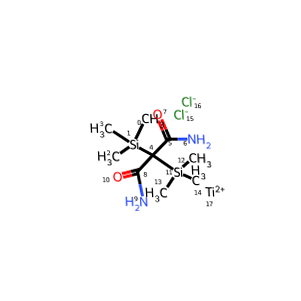 C[Si](C)(C)C(C(N)=O)(C(N)=O)[Si](C)(C)C.[Cl-].[Cl-].[Ti+2]